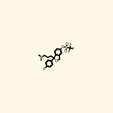 CN(C)CCCC1(c2ccc(F)cc2)OCc2cc(OS(=O)(=O)C(F)(F)F)ccc21